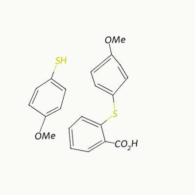 COc1ccc(S)cc1.COc1ccc(Sc2ccccc2C(=O)O)cc1